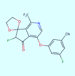 N#Cc1cc(F)cc(Oc2cnc(C(F)(F)F)c3c2C(=O)C(F)C32OCCO2)c1